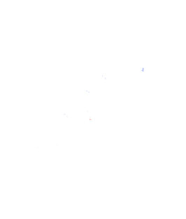 NC1CCN(CN2C[C@@H](O)[C@H](N3CCc4ccccc4C3)C2)CC1